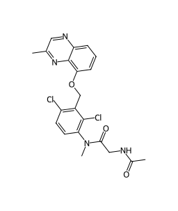 CC(=O)NCC(=O)N(C)c1ccc(Cl)c(COc2cccc3ncc(C)nc23)c1Cl